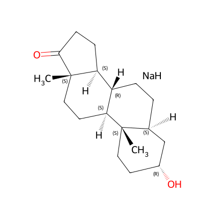 C[C@]12CC[C@@H](O)C[C@@H]1CC[C@@H]1[C@@H]2CC[C@]2(C)C(=O)CC[C@@H]12.[NaH]